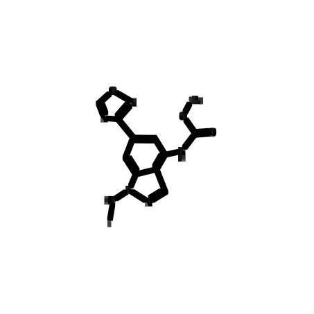 CC(C)(C)OC(=O)Nc1cc(-c2ncon2)cc2c1cnn2PI